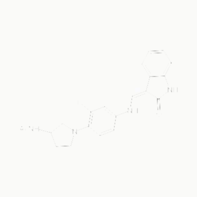 CC(=O)NC1CCN(c2ccc(N/C=C3\C(=O)Nc4ccccc43)cc2F)C1